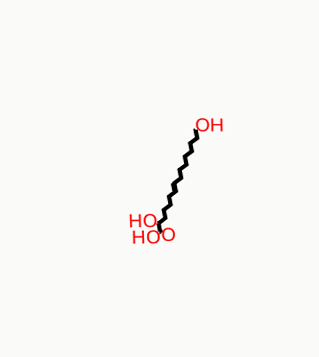 O=C(O)C(O)CCCCC=CCCCCCCCCO